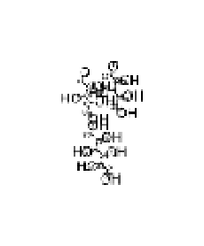 O=CC(O)C(O)C(O)CO.O=CC(O)C(O)C(O)CO.OCC(O)C(O)C(O)C(O)CO